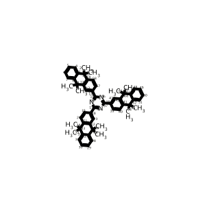 CC1(C)c2ccccc2C(C)(C)c2cc(-c3nc(-c4ccc5c(c4)C(C)(C)c4ccccc4C5(C)C)nc(-c4ccc5c(c4)C(C)(C)c4ccccc4C5(C)C)n3)ccc21